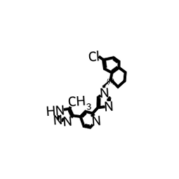 Cc1[nH]nnc1-c1ccnc(-c2cn(C[C@@H]3CCCc4ccc(Cl)cc43)cn2)c1